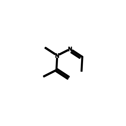 C=C(C)N(C)/N=C\C